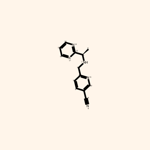 C[C@@H](NCc1ccc(C#N)cn1)c1ncccn1